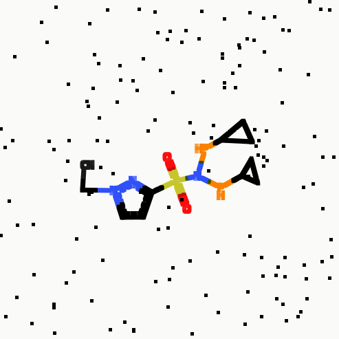 N#CCn1ccc(S(=O)(=O)N(PC2CC2)PC2CC2)n1